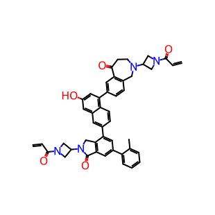 C=CC(=O)N1CC(N2CCC(=O)c3cc(-c4cc(O)cc5cc(-c6cc(-c7ccccc7C)cc7c6CN(C6CN(C(=O)C=C)C6)C7=O)ccc45)ccc3C2)C1